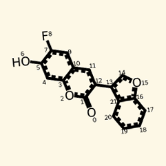 O=c1oc2cc(O)c(F)cc2cc1-c1coc2ccccc12